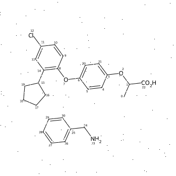 CC(Oc1ccc(Oc2ccc(Cl)cc2C2CCCC2)cc1)C(=O)O.NCc1ccccc1